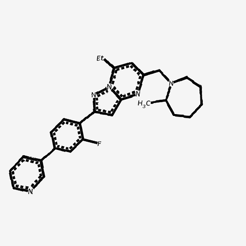 CCc1cc(CN2CCCCCC2C)nc2cc(-c3ccc(-c4cccnc4)cc3F)nn12